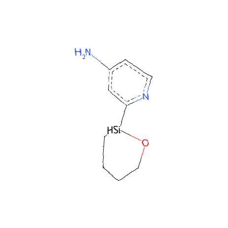 Nc1ccnc([SiH]2CCCCO2)c1